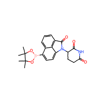 CC1(C)OB(c2ccc3c4c(cccc24)C(=O)N3C2CCC(=O)NC2=O)OC1(C)C